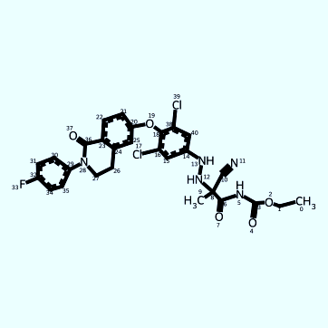 CCOC(=O)NC(=O)C(C)(C#N)NNc1cc(Cl)c(Oc2ccc3c(c2)CCN(c2ccc(F)cc2)C3=O)c(Cl)c1